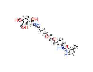 CCc1cccc(NC(=O)Nc2cccc(COCCOCCCCCCNC[C@@H](O)c3ccc(O)c(CO)c3)c2)c1